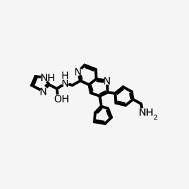 NCc1ccc(-c2nc3ccnc(CNC(O)c4ncc[nH]4)c3cc2-c2ccccc2)cc1